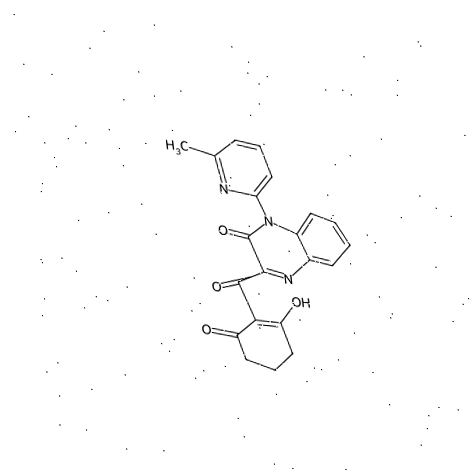 Cc1cccc(-n2c(=O)c(C(=O)C3=C(O)CCCC3=O)nc3ccccc32)n1